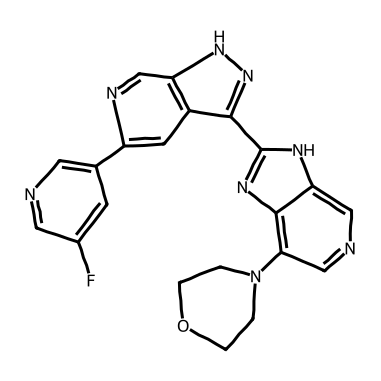 Fc1cncc(-c2cc3c(-c4nc5c(N6CCOCC6)cncc5[nH]4)n[nH]c3cn2)c1